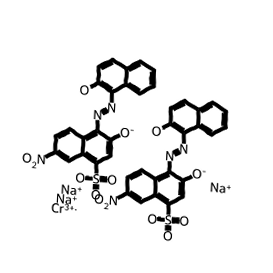 O=[N+]([O-])c1ccc2c(N=Nc3c([O-])ccc4ccccc34)c([O-])cc(S(=O)(=O)[O-])c2c1.O=[N+]([O-])c1ccc2c(N=Nc3c([O-])ccc4ccccc34)c([O-])cc(S(=O)(=O)[O-])c2c1.[Cr+3].[Na+].[Na+].[Na+]